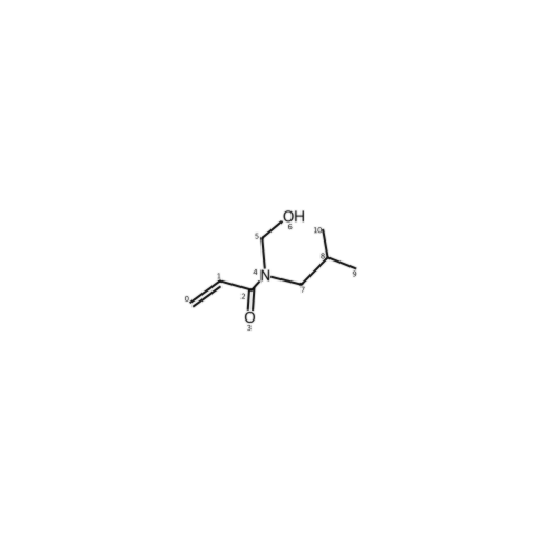 C=CC(=O)N(CO)CC(C)C